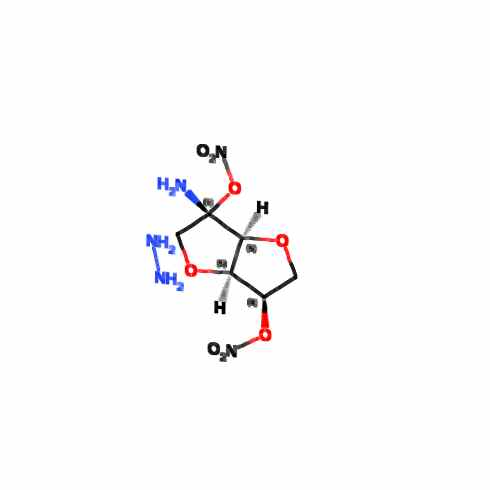 NN.N[C@]1(O[N+](=O)[O-])CO[C@@H]2[C@H](O[N+](=O)[O-])CO[C@@H]21